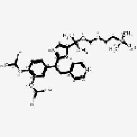 CC(C)(OCOCC[Si](C)(C)C)c1cnc(C(Cc2ccncc2)c2ccc(OC(F)F)c(OC(F)F)c2)s1